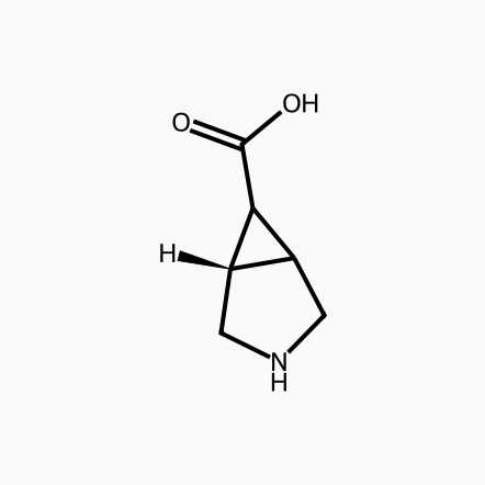 O=C(O)C1C2CNC[C@@H]21